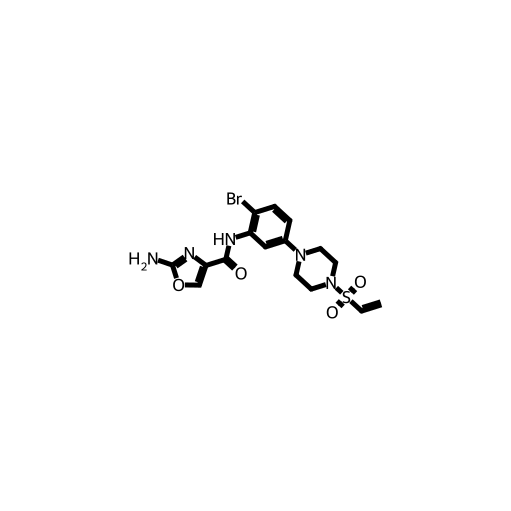 C=CS(=O)(=O)N1CCN(c2ccc(Br)c(NC(=O)c3coc(N)n3)c2)CC1